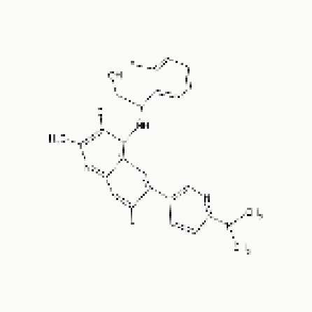 Cc1nc2cc(F)c(-c3ccc(P(C)C)nc3)nc2c(NC(CO)c2ccccc2F)c1Cl